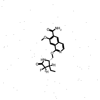 [2H][C@]1(CC)[C@@H](COc2nccc3cc(C(N)=O)c(OC)cc23)NC(=O)[C@@]1([2H])F